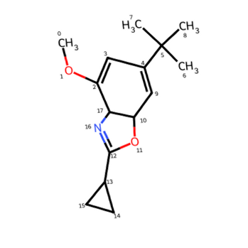 COC1=CC(C(C)(C)C)=CC2OC(C3CC3)=NC12